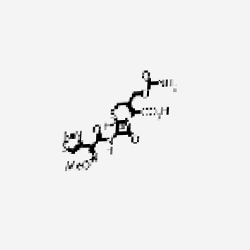 CON=C(C(=O)NC1C(=O)N2C(C(=O)O)=C(COC(N)=O)CS[C@@H]12)c1csnn1